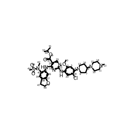 COc1cc(N2CCC(N3CCN(C)CC3)CC2)c(Cl)cc1Nc1ncc(C(=O)OC(C)C)c(Nc2cc3c(cc2N(C)S(C)(=O)=O)CCO3)n1